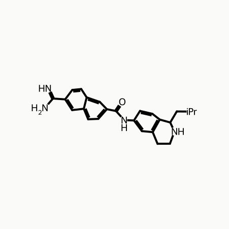 CC(C)CC1NCCc2cc(NC(=O)c3ccc4cc(C(=N)N)ccc4c3)ccc21